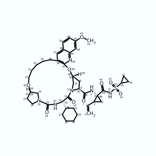 C=CC1C[C@]1(NC(=O)[C@@H]1C[C@@H]2CN1C(=O)[C@H](C1CCCCC1)NC(=O)N1CC[C@@H](C1)OCCCCCc1cc3ccc(OC)cc3nc1O2)C(=O)NS(=O)(=O)C1CC1